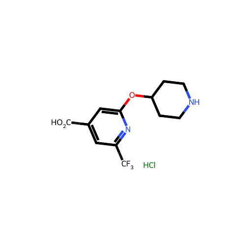 Cl.O=C(O)c1cc(OC2CCNCC2)nc(C(F)(F)F)c1